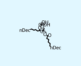 CCCCCCCCCCCCCCCC(=O)OC[C@H](COP(=O)(O)O)OC(=O)CCCCCCCCCCCCCC